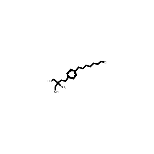 NC(CO)(CO)CCc1ccc(CCCCCCCCl)cc1